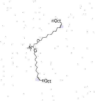 CCCCCCCC/C=C\CCCCCCCCOCCC(OCCCCCCCC/C=C\CCCCCCCC)[N+](C)(C)C